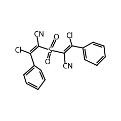 N#CC(=C(Cl)c1ccccc1)S(=O)(=O)C(C#N)=C(Cl)c1ccccc1